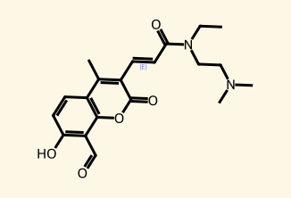 CCN(CCN(C)C)C(=O)/C=C/c1c(C)c2ccc(O)c(C=O)c2oc1=O